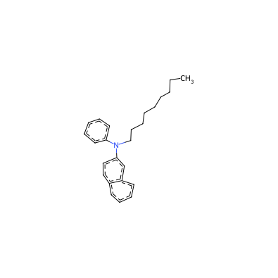 CCCCCCCCCN(c1ccccc1)c1ccc2ccccc2c1